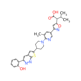 Cc1cc(-c2cc(C(C(=O)O)C(C)C)on2)cnc1N1CCC(c2cc3cc(-c4ccccc4O)nnc3s2)CC1